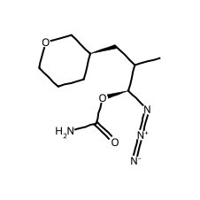 CC(C[C@H]1CCCOC1)[C@@H](N=[N+]=[N-])OC(N)=O